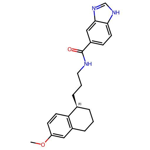 COc1ccc2c(c1)CCC[C@@H]2CCCNC(=O)c1ccc2[nH]cnc2c1